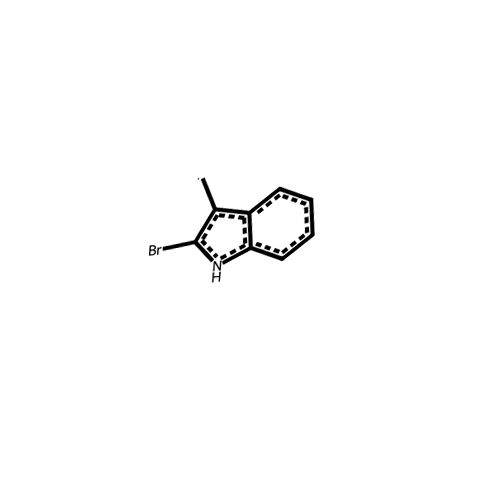 [CH2]c1c(Br)[nH]c2ccccc12